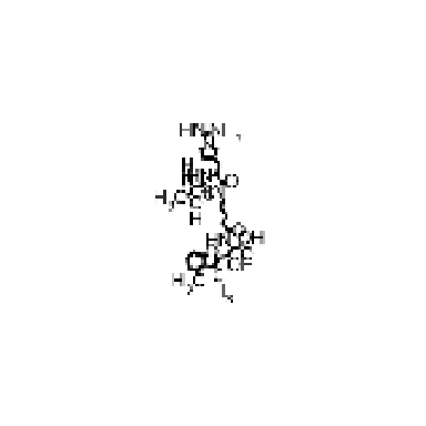 Cc1cccc2oc(C(O)C(NC(=O)CCCCNC(=O)C(CC3=CCN(C(=N)N)C3)NC(=O)C(N)C(C)O)C(=O)O)c(C)c12